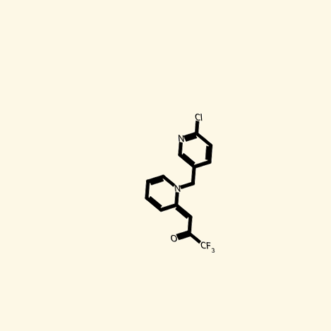 O=C(C=C1C=CC=CN1Cc1ccc(Cl)nc1)C(F)(F)F